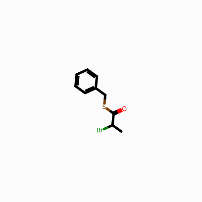 CC(Br)C(=O)SCc1ccccc1